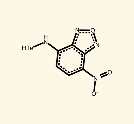 O=[N+]([O-])c1ccc(N[TeH])c2nonc12